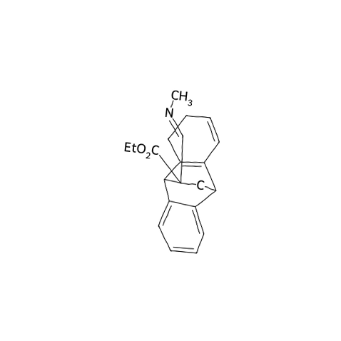 CCOC(=O)C1(/C=N/C)CC2C3=C(CCC=C3)C1c1ccccc12